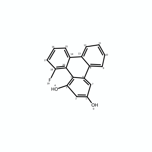 Oc1cc(O)c2c(c1)c1ccccc1c1cccc(F)c12